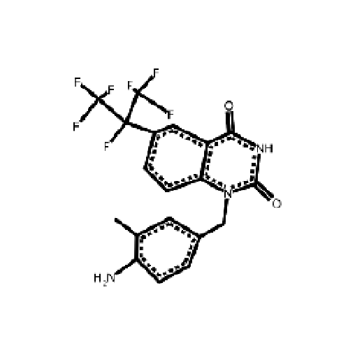 Cc1cc(Cn2c(=O)[nH]c(=O)c3cc(C(F)(C(F)(F)F)C(F)(F)F)ccc32)ccc1N